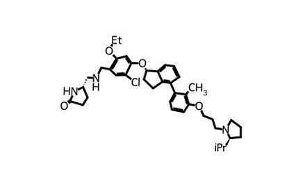 CCOc1cc(O[C@H]2CCc3c(-c4cccc(OCCCN5CCC[C@H]5C(C)C)c4C)cccc32)c(Cl)cc1CNC[C@@H]1CCC(=O)N1